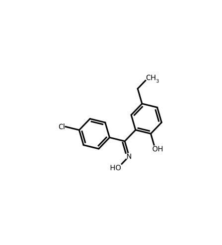 CCc1ccc(O)c(C(=NO)c2ccc(Cl)cc2)c1